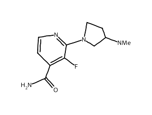 CNC1CCN(c2nccc(C(N)=O)c2F)C1